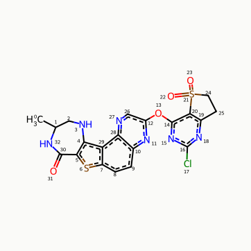 CC1CNc2c(sc3ccc4nc(Oc5nc(Cl)nc6c5S(=O)(=O)CC6)cnc4c23)C(=O)N1